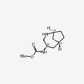 CC(C)(C)OC(=O)N[C@H]1CN[C@H]2CC[C@@H](C2)C1